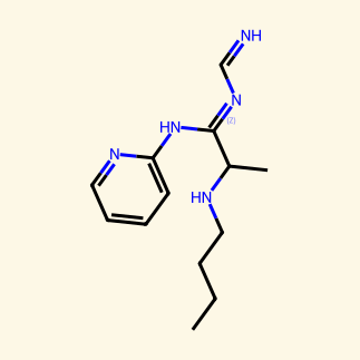 CCCCNC(C)/C(=N/C=N)Nc1ccccn1